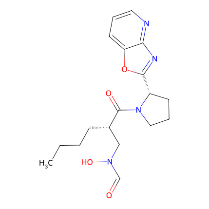 CCCC[C@@H](CN(O)C=O)C(=O)N1CCC[C@H]1c1nc2ncccc2o1